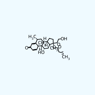 CSCC(=O)O[C@]1(C(=O)CO)CC[C@H]2[C@@H]3C[C@H](C)C4=CC(=O)C=C[C@]4(C)[C@H]3[C@@H](O)C[C@@]21C